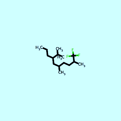 CCCC(CC(C)CCC(C)C(F)(F)F)C(C)C